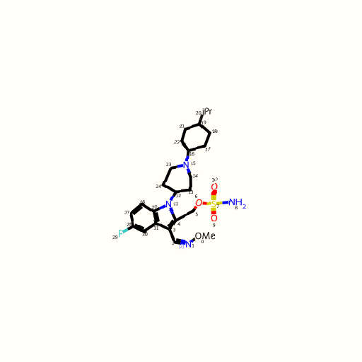 CO/N=C\c1c(COS(N)(=O)=O)n(C2CCN(C3CCC(C(C)C)CC3)CC2)c2ccc(F)cc12